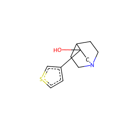 OC1(c2ccsc2)CN2CCC1CC2